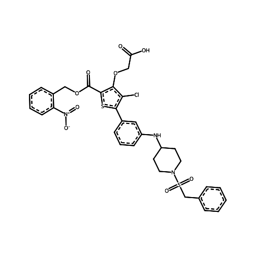 O=C(O)COc1c(C(=O)OCc2ccccc2[N+](=O)[O-])sc(-c2cccc(NC3CCN(S(=O)(=O)Cc4ccccc4)CC3)c2)c1Cl